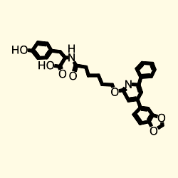 O=C(CCCCCOc1cc(-c2ccc3c(c2)OCO3)cc(-c2ccccc2)n1)NC(Cc1ccc(O)cc1)C(=O)O